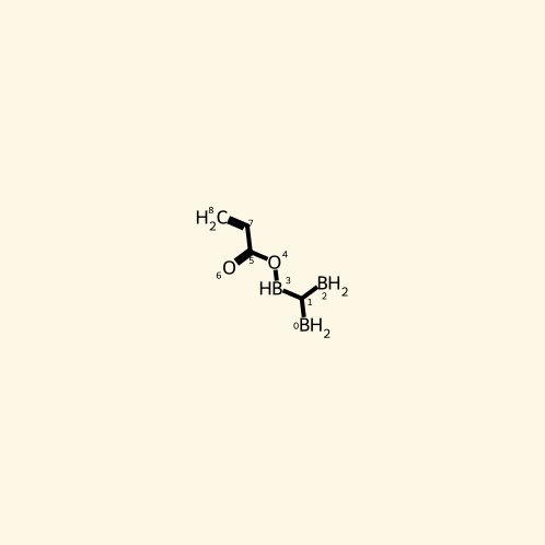 BC(B)BOC(=O)C=C